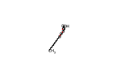 CCCCCCCCCCCCCCCCOCCOCCOc1ccc(C(=O)O)cc1